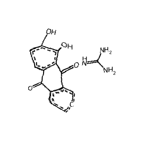 N=C(N)N.O=C1c2ccccc2C(=O)c2c1ccc(O)c2O